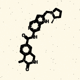 C[C@H]1CCCN1Cc1cc2cnc(NC(=O)c3ccc4c(c3)CNC(=O)N4C)cc2[nH]1